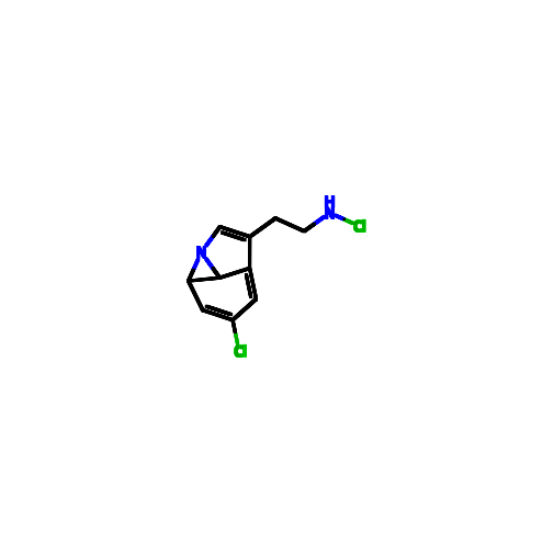 ClNCCC1=CN2C3C=C(Cl)C=C1C32